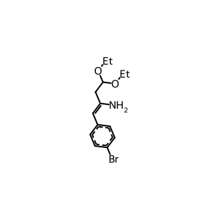 CCOC(CC(N)=Cc1ccc(Br)cc1)OCC